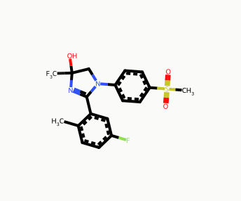 Cc1ccc(F)cc1C1=NC(O)(C(F)(F)F)CN1c1ccc(S(C)(=O)=O)cc1